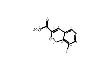 COC(=O)/C(N)=C/c1cccc(F)c1F